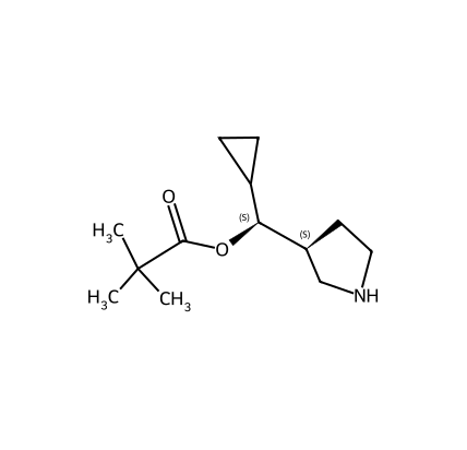 CC(C)(C)C(=O)O[C@@H](C1CC1)[C@H]1CCNC1